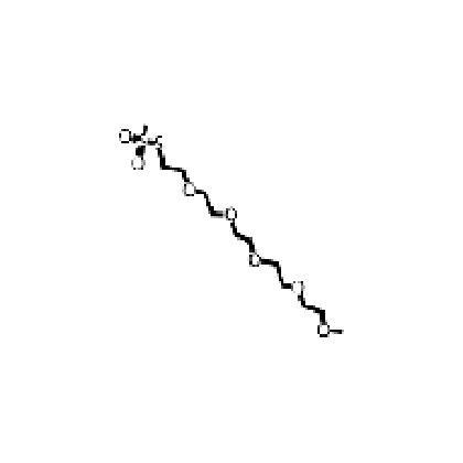 COCCOCCOCCOCCOCCSS(C)(=O)=O